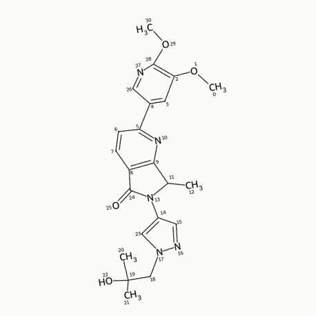 COc1cc(-c2ccc3c(n2)C(C)N(c2cnn(CC(C)(C)O)c2)C3=O)cnc1OC